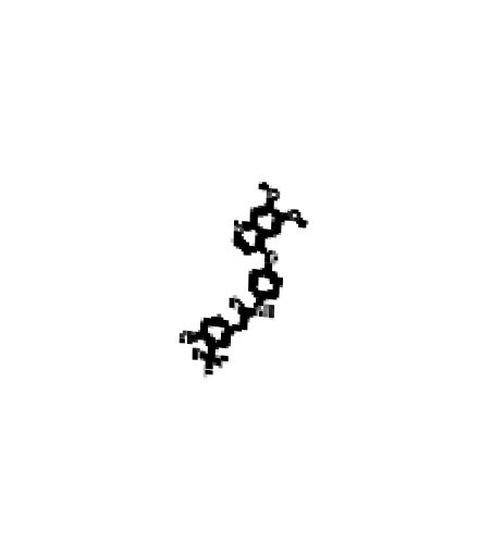 COc1cc2nccc(Oc3ccc(NC(=O)Cc4ccc(Cl)c(C(F)(F)F)c4)cc3)c2cc1OC